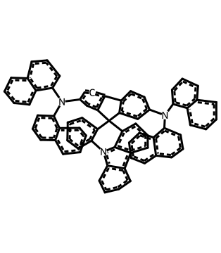 c1ccc2c(c1)-n1c3ccccc3c3cccc(c31)C21c2cc(N(c3cccc4ccccc34)c3cccc4ccccc34)ccc2-c2ccc(N(c3cccc4ccccc34)c3cccc4ccccc34)cc21